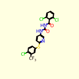 O=C(NC(=O)c1c(Cl)cccc1Cl)Nc1ccc(Sc2ccc(Cl)c(C(F)(F)F)c2)nc1